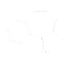 CN1C(=O)OCCc2ccccc21